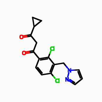 O=C(CC(=O)C1CC1)c1ccc(Cl)c(Cn2cccn2)c1Cl